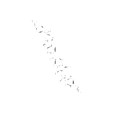 O=C1c2ccc(Oc3ccc4c(c3)C(=O)N(OS(=O)(=O)c3ccc(OC(F)(F)F)cc3)C4=O)cc2C(=O)N1OS(=O)(=O)c1ccc(OC(F)(F)F)cc1